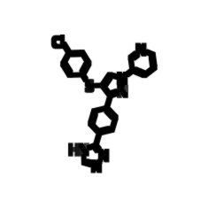 Clc1ccc(Sc2cn(-c3cccnc3)nc2-c2ccc(-c3nnc[nH]3)cc2)cc1